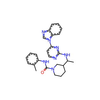 Cc1ccccc1NC(=O)N1CCCC(C(C)Nc2nccc(-n3cnc4ccccc43)n2)C1